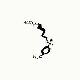 CCOC(=O)C=CCCCOS(=O)(=O)c1ccc(C)cc1